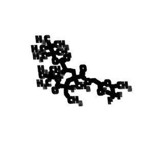 CCC(F)(CC(C)(CC(C)C(=O)OC(C)(C)C(C)(C)C)C(=O)OCC(=O)OC(C)C(F)(F)F)C(=O)OC(C)(C)C